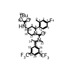 Cc1cc(F)ccc1[C@@H]1C[C@H](NC(=O)OC(C)(C)C)CCN1C(=O)N(C)[C@H](C)c1cc(C(F)(F)F)cc(C(F)(F)F)c1